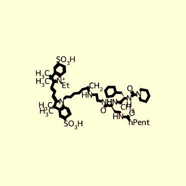 C=C(CCCCCN1/C(=C\C=C\C2=[N+](CC)c3ccc(S(=O)(=O)O)cc3C2(C)C)C(C)(C)c2cc(S(=O)(=O)O)ccc21)NCCNC(=O)[C@H](CCNC(=O)CCCCC)NC(=C)[C@H](CC1CCCCC1)NC(=O)N1CCCCC1